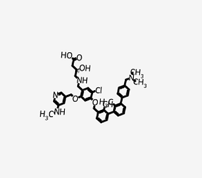 CNc1cncc(COc2cc(OCc3cccc(-c4cccc(-c5ccc(CN(C)C)cc5)c4C)c3C)c(Cl)cc2CNC[C@@H](O)CC(=O)O)c1